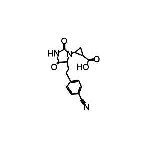 N#Cc1ccc(CCC2C(=O)NC(=O)N2C2CC2C(=O)O)cc1